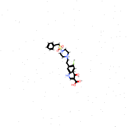 O=C(O)c1c[nH]c2cc(CCN3CCN(S(=O)(=O)Cc4ccccc4)CC3)c(F)cc2c1=O